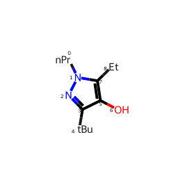 CCCn1nc(C(C)(C)C)c(O)c1CC